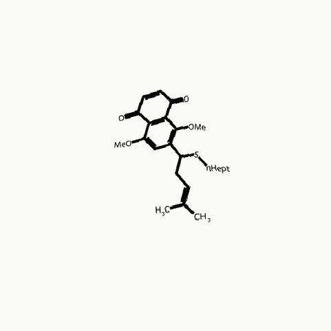 CCCCCCCSC(CC=C(C)C)c1cc(OC)c2c(c1OC)C(=O)C=CC2=O